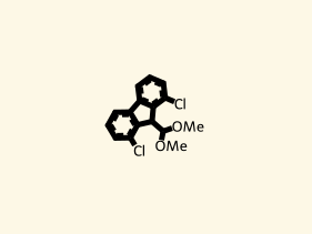 COC(OC)C1c2c(Cl)cccc2-c2cccc(Cl)c21